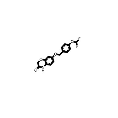 O=C1COc2cc(OCc3ccc(OC(F)F)cc3)ccc2N1